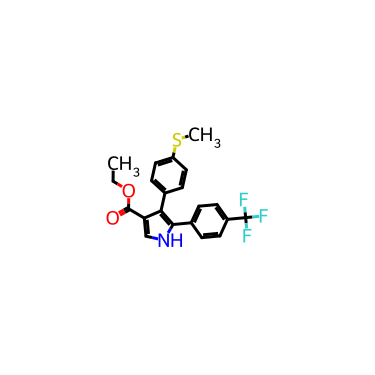 CCOC(=O)c1c[nH]c(-c2ccc(C(F)(F)F)cc2)c1-c1ccc(SC)cc1